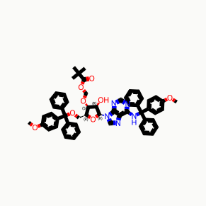 COc1ccc(C(Nc2ncnc3c2ncn3[C@@H]2O[C@H](COC(c3ccccc3)(c3ccccc3)c3ccc(OC)cc3)[C@@H](OCOC(=O)C(C)(C)C)[C@H]2O)(c2ccccc2)c2ccccc2)cc1